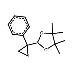 CC1(C)OB(C2(c3ccccc3)CC2)OC1(C)C